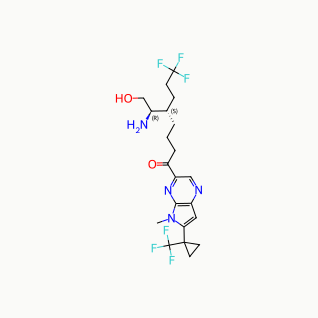 Cn1c(C2(C(F)(F)F)CC2)cc2ncc(C(=O)CCC[C@@H](CCC(F)(F)F)[C@@H](N)CO)nc21